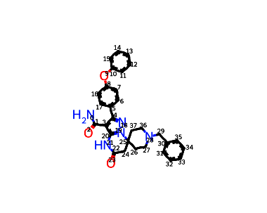 NC(=O)c1c(-c2ccc(Oc3ccccc3)cc2)nn2c1NC(=O)CC21CCN(Cc2ccccc2)CC1